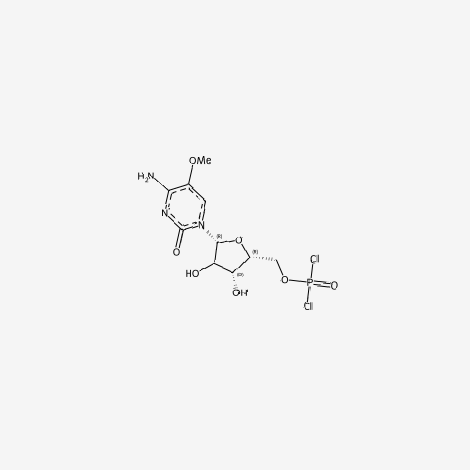 COc1cn([C@@H]2O[C@H](COP(=O)(Cl)Cl)[C@H](O)C2O)c(=O)nc1N